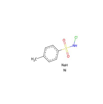 Cc1ccc(S(=O)(=O)NCl)cc1.[NaH].[Ni]